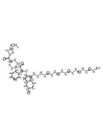 CN1CC(C(=O)N2CCC3(CC2)C(=O)N(Cc2nc4cc(Cl)ccc4n2CCCCOCCOCCOCCOCCOCI)c2cnccc23)C1